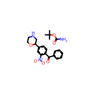 CC(C)(C)OC(N)=O.O=C(c1ccccc1)c1ccc(C2CNCCO2)cc1[N+](=O)[O-]